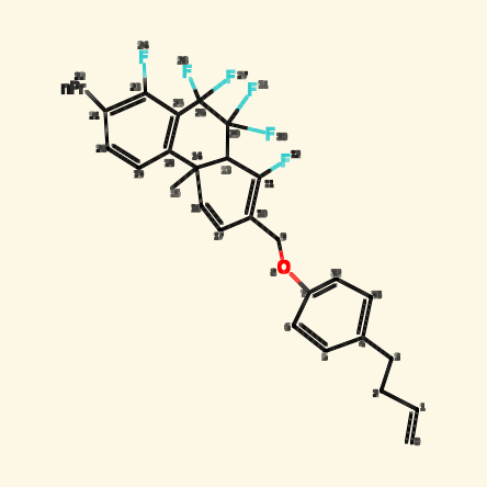 C=CCCc1ccc(OCC2=C(F)C3C(C)(C=C2)c2ccc(CCC)c(F)c2C(F)(F)C3(F)F)cc1